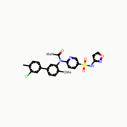 CNC(=O)N(c1ccc(S(=O)(=O)Nc2ccon2)cn1)c1cc(-c2ccc(C)c(Cl)c2)ccc1OC